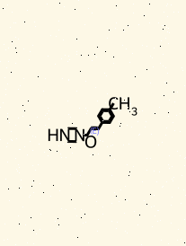 Cc1ccc(/C=C/C(=O)N2CCNCC2)cc1